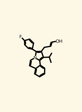 CC(C)c1c(CC=CO)c(-c2ccc(F)cc2)n2ccc3ccccc3c12